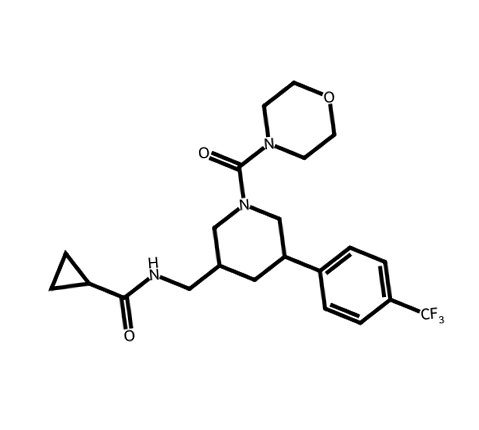 O=C(NCC1CC(c2ccc(C(F)(F)F)cc2)CN(C(=O)N2CCOCC2)C1)C1CC1